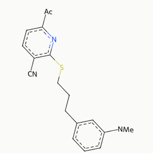 CNc1cccc(CCCSc2nc(C(C)=O)ccc2C#N)c1